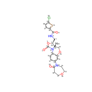 O=C(NC[C@@H]1OC(=O)N2c3ccc(N4CCOCCC4=O)cc3OC[C@@H]12)c1ccc(Cl)s1